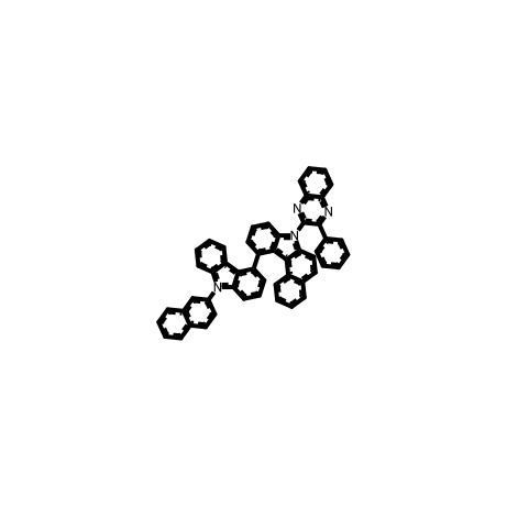 c1ccc(-c2nc3ccccc3nc2-n2c3cccc(-c4cccc5c4c4ccccc4n5-c4ccc5ccccc5c4)c3c3c4ccccc4ccc32)cc1